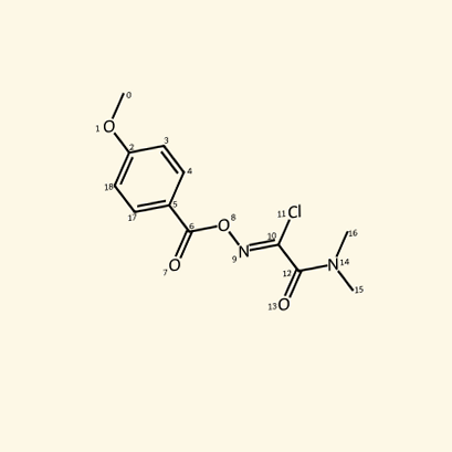 COc1ccc(C(=O)O/N=C(\Cl)C(=O)N(C)C)cc1